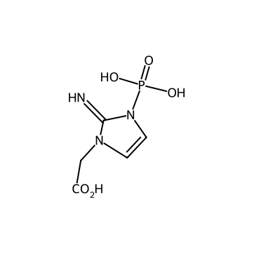 N=c1n(CC(=O)O)ccn1P(=O)(O)O